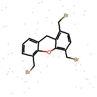 BrCc1ccc(CBr)c2c1Cc1cccc(CBr)c1O2